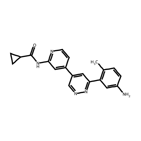 Cc1ccc(N)cc1-c1cc(-c2ccnc(NC(=O)C3CC3)c2)cnn1